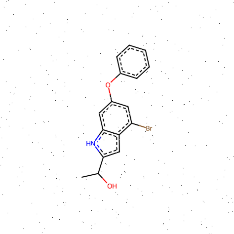 CC(O)c1cc2c(Br)cc(Oc3ccccc3)cc2[nH]1